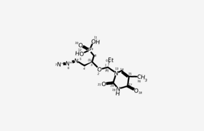 CC[C@@H](O[C@@H](CN=[N+]=[N-])CP(=O)(O)O)n1cc(C)c(=O)[nH]c1=O